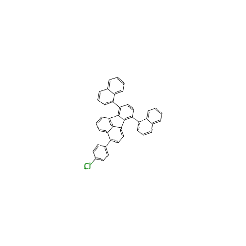 Clc1ccc(-c2ccc3c4c(cccc24)-c2c(-c4cccc5ccccc45)ccc(-c4cccc5ccccc45)c2-3)cc1